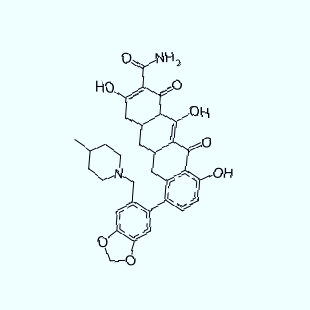 CC1CCN(Cc2cc3c(cc2-c2ccc(O)c4c2CC2CC5CC(O)=C(C(N)=O)C(=O)C5C(O)=C2C4=O)OCO3)CC1